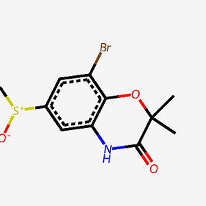 C[S+]([O-])c1cc(Br)c2c(c1)NC(=O)C(C)(C)O2